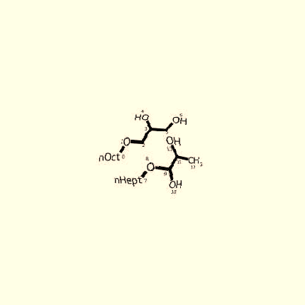 CCCCCCCCOCC(O)CO.CCCCCCCOC(O)C(C)O